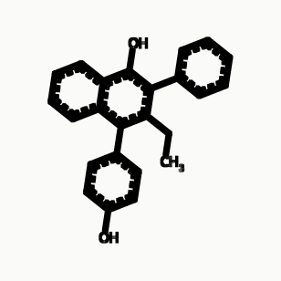 CCc1c(-c2ccccc2)c(O)c2ccccc2c1-c1ccc(O)cc1